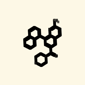 Cc1ccc2cc(C(=O)N3CCOCC3)cc(-c3cccc4ccccc34)c2n1